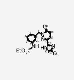 CCOC(=O)Nc1cccc(Cn2nc(-c3nc(=O)o[nH]3)ccc2=O)c1